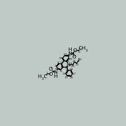 CCOC(=O)Nc1ccc2c(c1)c(-c1ccccc1)[n+](CCCI)c1cc(NC(=O)OCC)ccc21